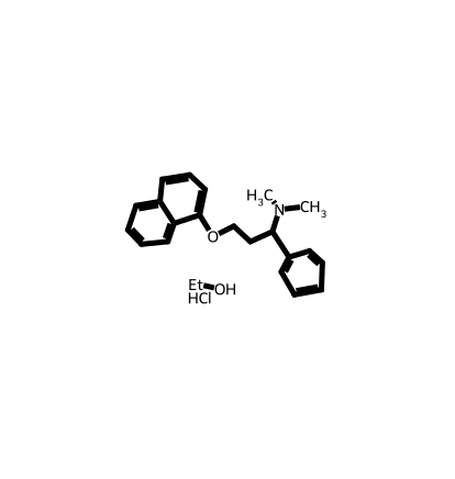 CCO.CN(C)C(CCOc1cccc2ccccc12)c1ccccc1.Cl